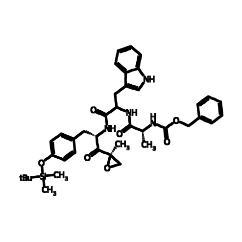 C[C@@H](NC(=O)OCc1ccccc1)C(=O)NC(Cc1c[nH]c2ccccc12)C(=O)N[C@@H](Cc1ccc(O[Si](C)(C)C(C)(C)C)cc1)C(=O)[C@@]1(C)CO1